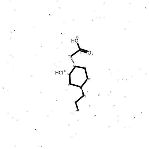 CCC[C@H]1CC[C@H](CC(=O)O)CC1.Cl